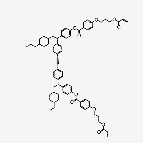 C=CC(=O)OCCCOc1ccc(C(=O)Oc2ccc(C(CC3CCC(CCC)CC3)c3ccc(C#Cc4ccc(C(CC5CCC(CCC)CC5)c5ccc(OC(=O)c6ccc(OCCCOC(=O)C=C)cc6)cc5)cc4)cc3)cc2)cc1